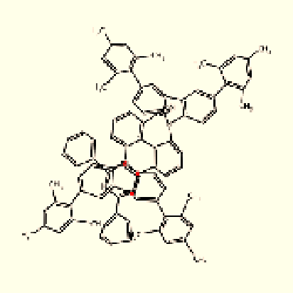 Cc1cc(C)c(-c2ccc3c(c2)c2cc(-c4c(C)cc(C)cc4C)ccc2n3-c2cccc(C#N)c2-c2c(-c3nc(-c4ccccc4)nc(-c4ccccc4)n3)cccc2-n2c3ccc(-c4c(C)cc(C)cc4C)cc3c3cc(-c4c(C)cc(C)cc4C)ccc32)c(C)c1